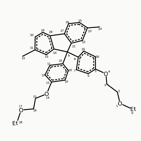 CCOCCOc1ccc(C2(c3ccc(OCCOCC)cc3)c3cc(C)ccc3-c3ccc(C)cc32)cc1